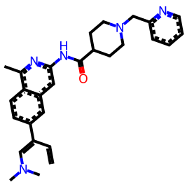 C=C/C(=C\N(C)C)c1ccc2c(C)nc(NC(=O)C3CCN(Cc4ccccn4)CC3)cc2c1